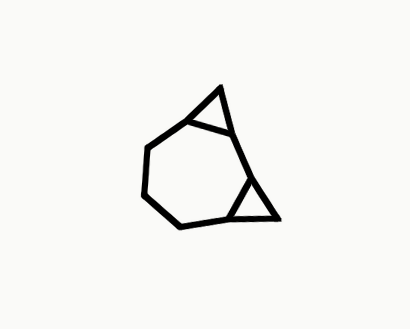 C1CC2CC2C2CC2C1